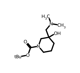 CN(C)CC1(O)CCCN(C(=O)OC(C)(C)C)C1